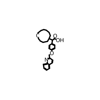 O=C(O)C(c1ccc(OCc2ccc3ccccc3n2)cc1)C1CCCCCCCCCCC1